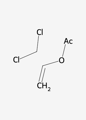 C=COC(C)=O.ClCCl